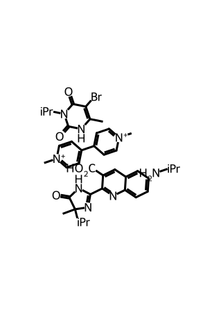 CC(C)C1(C)N=C(c2nc3ccccc3cc2C(=O)O)NC1=O.CC(C)N.C[n+]1ccc(-c2cc[n+](C)cc2)cc1.Cc1[nH]c(=O)n(C(C)C)c(=O)c1Br